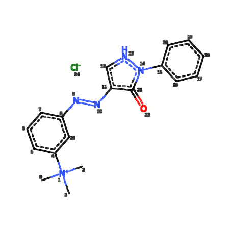 C[N+](C)(C)c1cccc(N=Nc2c[nH]n(-c3ccccc3)c2=O)c1.[Cl-]